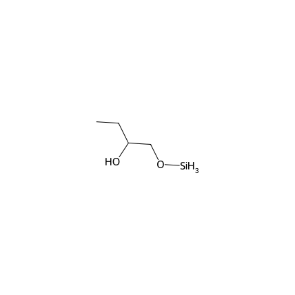 CCC(O)CO[SiH3]